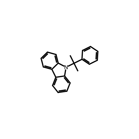 CC(C)(c1ccccc1)n1c2ccccc2c2ccccc21